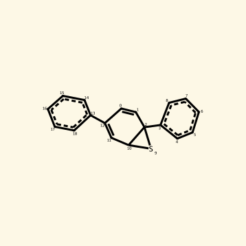 C1=CC2(c3ccccc3)SC2C=C1c1ccccc1